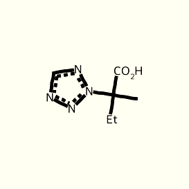 CCC(C)(C(=O)O)n1ncnn1